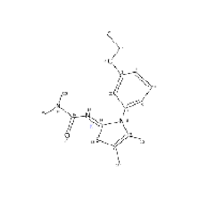 CCOc1cccc(-n2c(C)c(C)s/c2=N\C(=O)N(C)C)c1